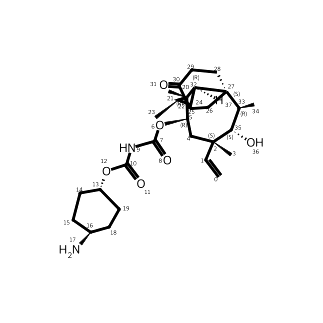 C=C[C@]1(C)C[C@@H](OC(=O)NC(=O)O[C@H]2CC[C@H](N)CC2)[C@]2(C)[C@H](C)CC34C[C@@](CCC3=O)([C@@H]42)[C@@H](C)[C@@H]1O